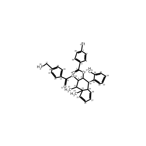 CCc1ccc(C(=O)OC2C(OC(=O)c3ccc(CP)cc3)C(C)C3(C)C=CC=CC3[C@@H]2c2ccccc2C)cc1